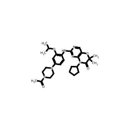 CC(=O)N1CCN(c2ccc(Nc3ncc4c(n3)N(C3CCCC3)C(=O)C(C)(C)O4)c(OC(C)C)c2)CC1